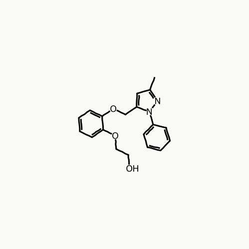 Cc1cc(COc2ccccc2OCCO)n(-c2ccccc2)n1